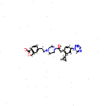 O=C1OCc2cc(CCN3CCN(C(=O)Cc4ccc(-n5cnnn5)cc4C4CC4)CC3)ccc21